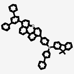 CC1(C)c2ccccc2-c2ccc(N(c3ccc(-c4ccccc4)cc3)c3ccc(-c4ccc5oc6ccc(-c7cc(-c8ccccc8)cc(-c8ccccc8)c7)c7cccc(c8cccc4c58)c67)cc3)cc21